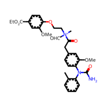 CCOC(=O)c1ccc(OCC[N+](C)(C=O)C(=O)Cc2ccc(N(C(N)=O)c3ccccc3C)c(OC)c2)c(OC)c1